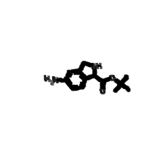 CC(C)(C)OC(=O)C1NCc2cc(N)ccc21